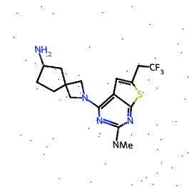 CNc1nc(N2CC3(CCC(N)C3)C2)c2cc(CC(F)(F)F)sc2n1